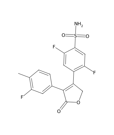 Cc1ccc(C2=C(c3cc(F)c(S(N)(=O)=O)cc3F)COC2=O)cc1F